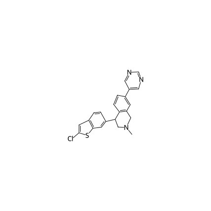 CN1Cc2cc(-c3cncnc3)ccc2C(c2ccc3cc(Cl)sc3c2)C1